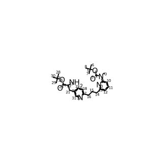 CN(C(=O)OC(C)(C)C)c1cccc(CCCc2ccc(CC(N)C(=O)OC(C)(C)C)cn2)n1